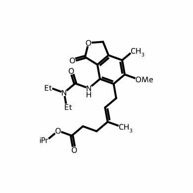 CCN(CC)C(=O)Nc1c(C/C=C(\C)CCC(=O)OC(C)C)c(OC)c(C)c2c1C(=O)OC2